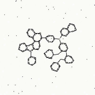 c1ccc(Cc2ccccc2-c2ccc(N(c3ccc(-c4nc5ccccc5c5c4ccc4c5c5ccccc5n4-c4ccccc4)cc3)c3ccc4ccccc4c3)cc2Cc2ccccc2)cc1